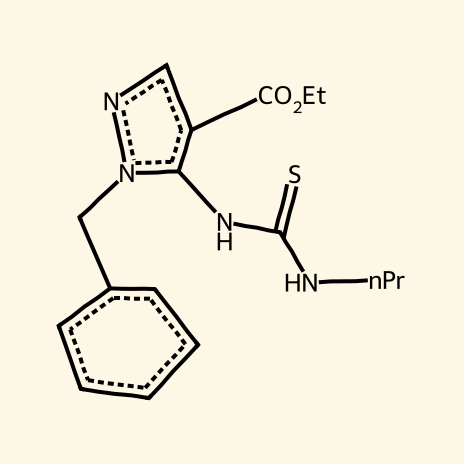 CCCNC(=S)Nc1c(C(=O)OCC)cnn1Cc1ccccc1